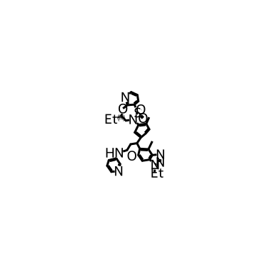 CC[C@@H]1CN(c2cc(C(CC(=O)Nc3cccnc3)c3ccc4c(nnn4CC)c3C)ccc2C)S(=O)(=O)c2cccnc2O1